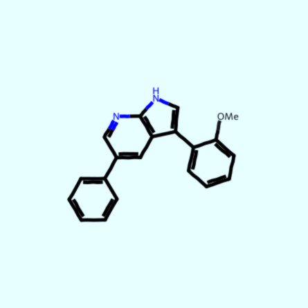 COc1ccccc1-c1c[nH]c2ncc(-c3ccccc3)cc12